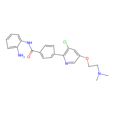 CN(C)CCOc1cnc(-c2ccc(C(=O)Nc3ccccc3N)cc2)c(Cl)c1